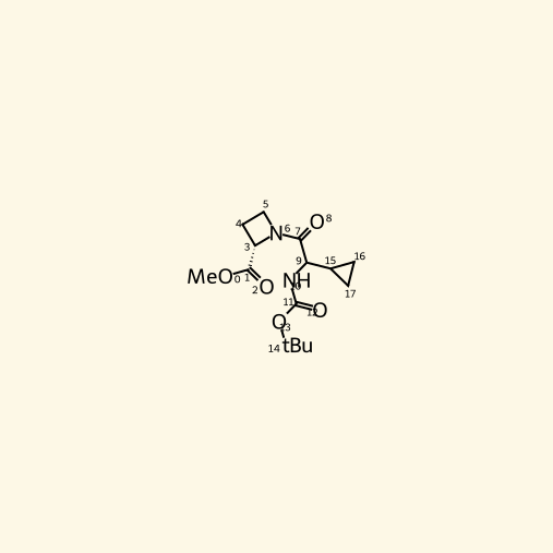 COC(=O)[C@@H]1CCN1C(=O)C(NC(=O)OC(C)(C)C)C1CC1